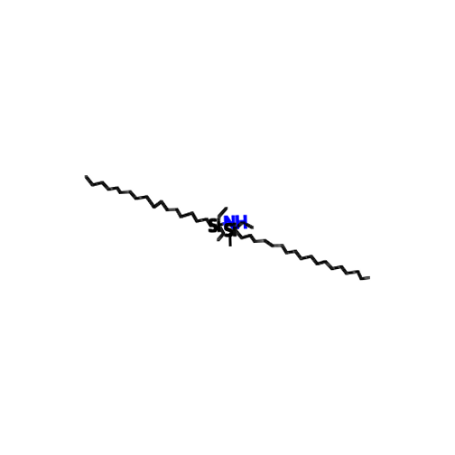 CCCCCCCCCCCCCCCCCC[Si](CC)(CC)N[Si](CC)(CC)CCCCCCCCCCCCCCCCCC